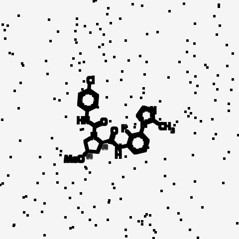 CO[C@@H]1C[C@H](C(=O)Nc2cccc(-n3ccnc3C)c2F)N(C(=O)Nc2ccc(Cl)cc2)C1